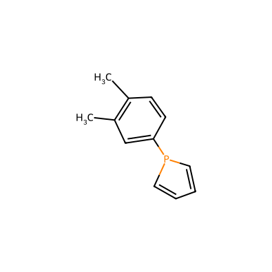 Cc1ccc(-p2cccc2)cc1C